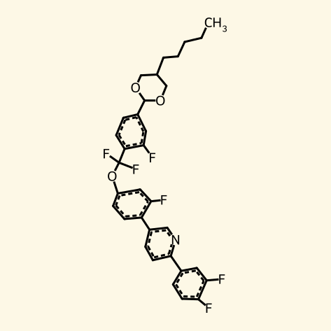 CCCCCC1COC(c2ccc(C(F)(F)Oc3ccc(-c4ccc(-c5ccc(F)c(F)c5)nc4)c(F)c3)c(F)c2)OC1